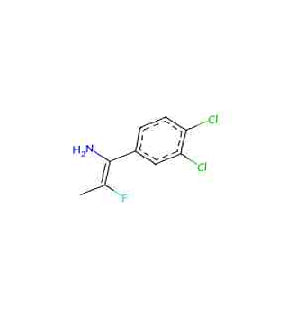 C/C(F)=C(\N)c1ccc(Cl)c(Cl)c1